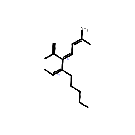 C=C(C)C(=C\C=C(/C)N)/C(=C\C)CCCCC